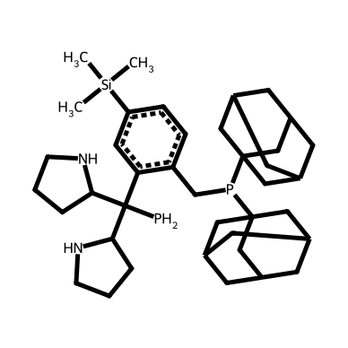 C[Si](C)(C)c1ccc(CP(C23CC4CC(CC(C4)C2)C3)C23CC4CC(CC(C4)C2)C3)c(C(P)(C2CCCN2)C2CCCN2)c1